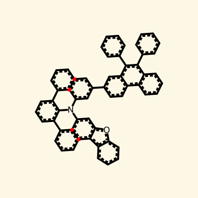 c1ccc(-c2cccc(-c3ccccc3)c2N(c2cccc(-c3ccc4c(c3)c(-c3ccccc3)c(-c3ccccc3)c3ccccc34)c2)c2ccc3c(c2)oc2ccccc23)cc1